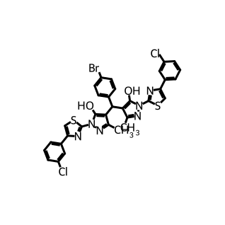 Cc1nn(-c2nc(-c3cccc(Cl)c3)cs2)c(O)c1C(c1ccc(Br)cc1)c1c(C)nn(-c2nc(-c3cccc(Cl)c3)cs2)c1O